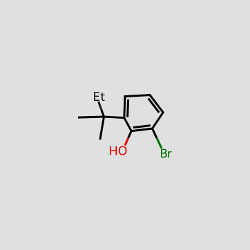 CCC(C)(C)c1cccc(Br)c1O